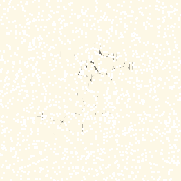 C[n+]1cn(C2CC(O)C(COC(C)(C)C)O2)c2nc(N)[nH]c(=O)c21